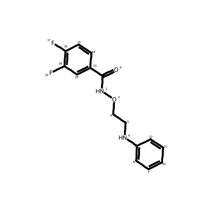 O=C(NOCCNc1ccccc1)c1ccc(F)c(F)c1